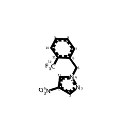 O=[N+]([O-])c1cnn(Cc2ccccc2C(F)(F)F)c1